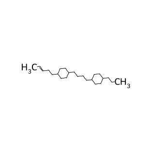 CC=CCCC1CCC(CCCCC2CCC(CCC)CC2)CC1